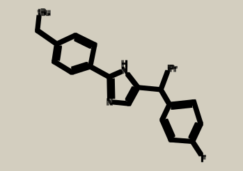 CC(C)C(c1ccc(F)cc1)c1cnc(-c2ccc(CC(C)(C)C)cc2)[nH]1